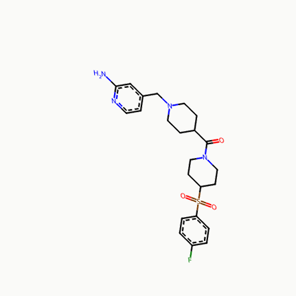 Nc1cc(CN2CCC(C(=O)N3CCC(S(=O)(=O)c4ccc(F)cc4)CC3)CC2)ccn1